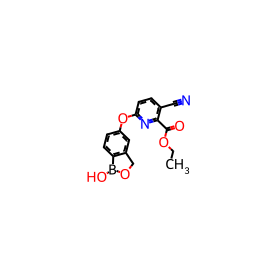 CCOC(=O)c1nc(Oc2ccc3c(c2)COB3O)ccc1C#N